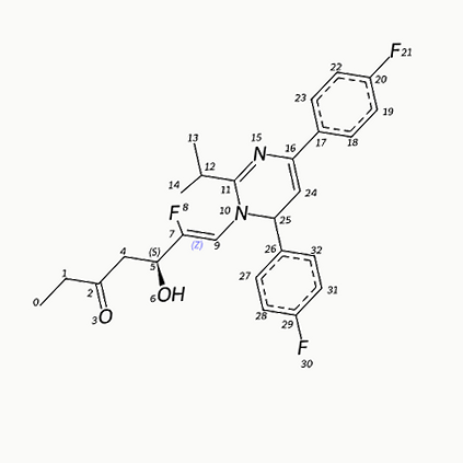 CCC(=O)C[C@H](O)/C(F)=C/N1C(C(C)C)=NC(c2ccc(F)cc2)=CC1c1ccc(F)cc1